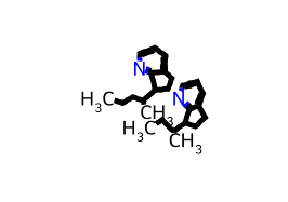 CCC(C)C1CCc2cccnc21.CCCC(C)C1CCc2cccnc21